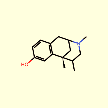 CC1CN(C)C2Cc3ccc(O)cc3[C@]1(C)C2